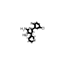 Nc1nc(-c2cc(Cl)ccc2F)cc(-c2cccnc2)c1O